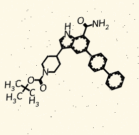 CC(C)(C)OC(=O)N1CCC(c2c[nH]c3c(C(N)=O)cc(-c4ccc(-c5ccccc5)cc4)cc23)CC1